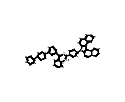 C1=CC2C=Cc3c(c4c5ccccc5ccc4n3-c3ccc(C4N=C(c5cccc(-c6ccc(-c7ccccc7)cc6)c5)c5ccccc5N4)cc3)C2C=C1